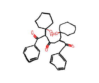 O=C(c1ccccc1)C(C(=O)C(C(=O)c1ccccc1)C1(O)CCCCC1)C1(O)CCCCC1